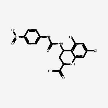 O=C(Nc1ccc([N+](=O)[O-])cc1)NC1CC(C(=O)O)Nc2cc(Cl)cc(Cl)c21